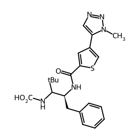 Cn1nncc1-c1csc(C(=O)N[C@@H](Cc2ccccc2)C(NC(=O)O)C(C)(C)C)c1